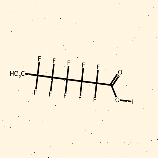 O=C(O)C(F)(F)C(F)(F)C(F)(F)C(F)(F)C(F)(F)C(=O)OI